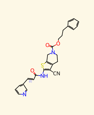 N#Cc1c(NC(=O)/C=C/c2cccnc2)sc2c1CCN(C(=O)OCCCc1ccccc1)C2